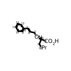 CC(C)CC(=NOCC=Cc1ccccc1)C(=O)O